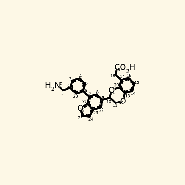 NCc1cccc(-c2cc(C3COc4cccc(CC(=O)O)c4O3)cc3ccoc23)c1